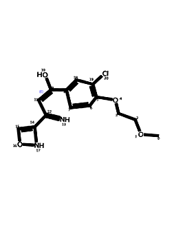 COCCOc1ccc(/C(O)=C\C(=N)c2co[nH]2)cc1Cl